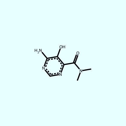 CN(C)C(=O)c1ncnc(N)c1O